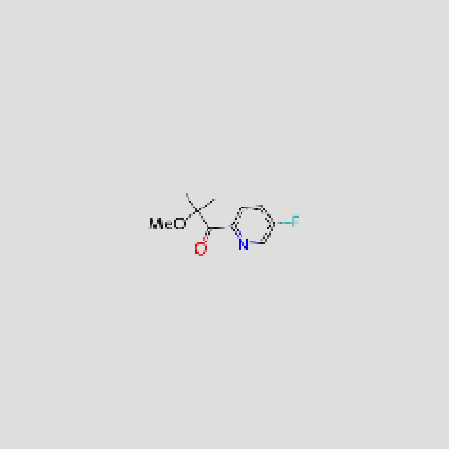 COC(C)(C)C(=O)c1ccc(F)cn1